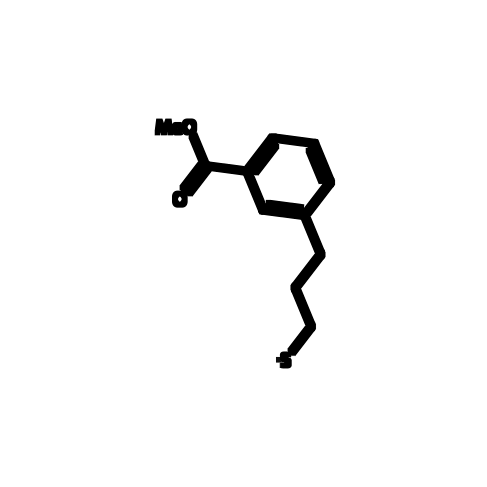 COC(=O)c1cccc(CCC[S])c1